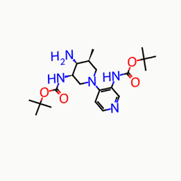 C[C@H]1CN(c2ccncc2NC(=O)OC(C)(C)C)C[C@@H](NC(=O)OC(C)(C)C)[C@H]1N